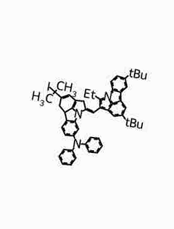 CCc1c(/C=C2\CC3=C4C(CC(C(C)(C)I)=C3)c3ccc(N(c5ccccc5)c5ccccc5)cc3N42)c2cc(C(C)(C)C)cc3c4cc(C(C)(C)C)ccc4n1c23